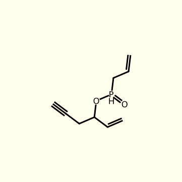 C#CCC(C=C)O[PH](=O)CC=C